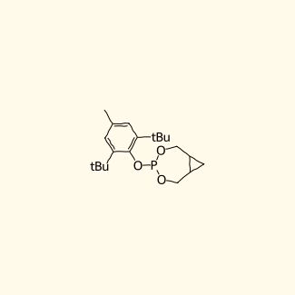 Cc1cc(C(C)(C)C)c(OP2OCC3CC3CO2)c(C(C)(C)C)c1